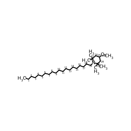 CCCCCCCCCCCCCCCCCCCCN1C(C)(C)CC(OC)CC1(C)C